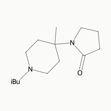 CCC(C)N1CCC(C)(N2CCCC2=O)CC1